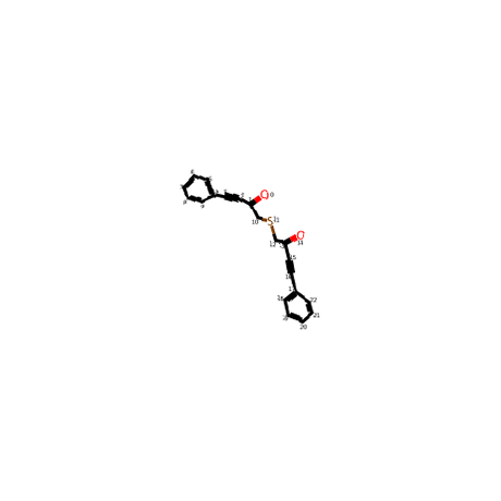 O=C(C#Cc1ccccc1)CSCC(=O)C#Cc1ccccc1